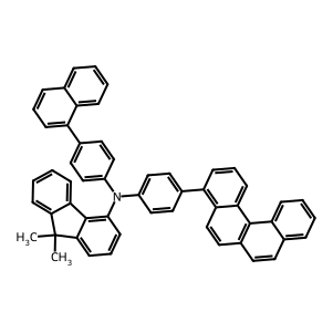 CC1(C)c2ccccc2-c2c(N(c3ccc(-c4cccc5ccccc45)cc3)c3ccc(-c4cccc5c4ccc4ccc6ccccc6c45)cc3)cccc21